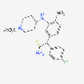 CCOC(=O)N1CCC(Nc2cc(C(C(N)=S)c3ccc(Cl)cc3)ccc2[N+](=O)[O-])CC1